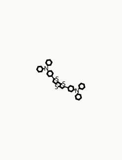 c1ccc(N(c2ccccc2)c2ccc(-c3cc4sc5cc(-c6ccc(N(c7ccccc7)c7ccccc7)cc6)sc5c4s3)cc2)cc1